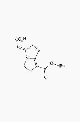 CCC(C)OC(=O)C1=C2SCC(=CC(=O)O)N2CC1